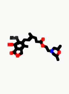 COc1c(O)c2c(c(C)c1C/C=C(\C)CCC(=O)OCCN1CC(C)OC(C)C1)COC2=O